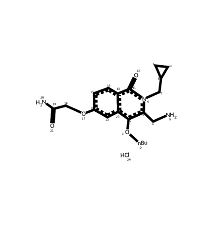 CCCCOc1c(CN)n(CC2CC2)c(=O)c2ccc(OCC(N)=O)cc12.Cl